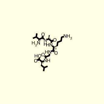 CC(C)C[C@H](NC(=O)CNC(=O)[C@H](CCCCN)NC(=O)[C@H](C)NC(=O)[C@@H](N)C(C)C)C(=O)O